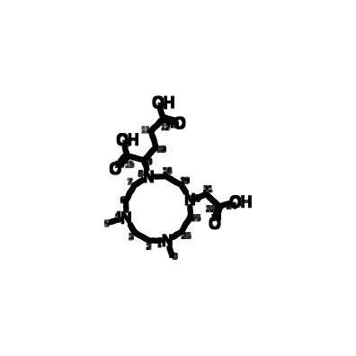 CN1CCN(C)CCN(C(CCC(=O)O)C(=O)O)CCN(CC(=O)O)CC1